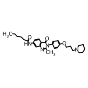 CCCCCC(=O)Nc1ccc2c(=O)n(-c3ccc(OCCCN4CCCCC4)cc3)c(C)nc2c1